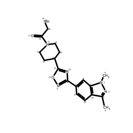 Cc1nn(C)c2cc(-c3noc(C4CCN(C(=O)CC(C)(C)C)CC4)n3)ccc12